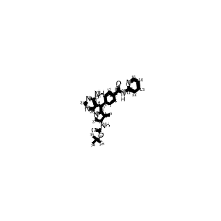 C=C1c2c(-c3ccc(C(=O)Nc4ccccn4)cc3)c3c(N)ncnc3n2C[C@H]1NC(=O)OC(C)(C)C